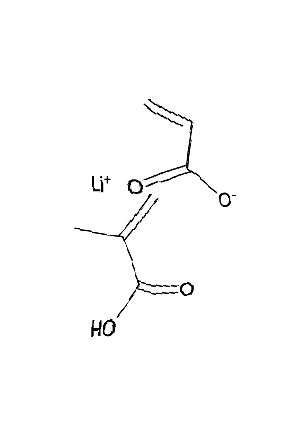 C=C(C)C(=O)O.C=CC(=O)[O-].[Li+]